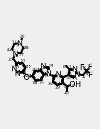 Cc1nn(CC(F)(F)F)cc1-c1nc(-n2cnc3cc(Oc4ccc(CN5CCN(C)CC5)nn4)ccc32)ccc1C(C)O